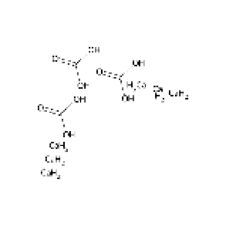 O=C(O)O.O=C(O)O.O=C(O)O.[CaH2].[CaH2].[CaH2].[CaH2].[CaH2].[CaH2]